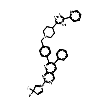 FC1(F)C=C[N+](c2ncc3cc(-c4ccccc4)c(-c4ccc(CN5CCC(c6nnc(-c7ccccn7)[nH]6)CC5)cc4)nc3n2)=C1